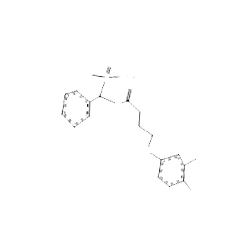 COP(=O)(OC)C(OC(=O)CCCOc1ccc(Cl)c(C)c1)c1ccccc1